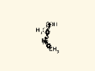 Cc1ccc(-c2nnc(CSc3ccc(OCC(=O)O)c(C)c3)s2)cc1